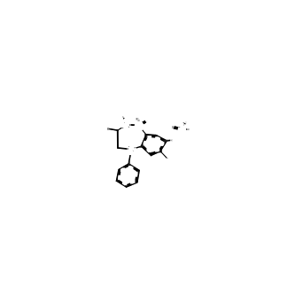 CCCCC1CN(c2ccccc2)c2cc(F)c(OS(=O)(=O)C(F)(F)F)cc2S(=O)(=O)N1C